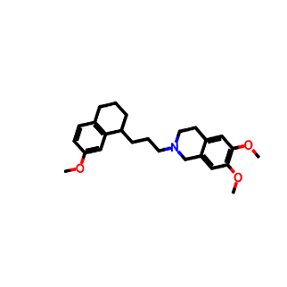 COc1ccc2c(c1)C(CCCN1CCc3cc(OC)c(OC)cc3C1)CCC2